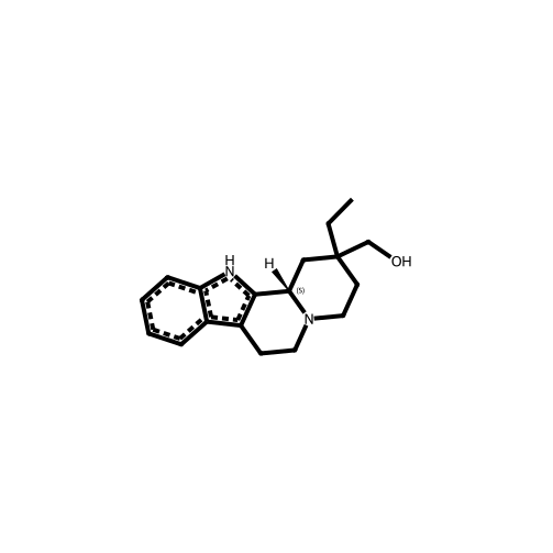 CCC1(CO)CCN2CCc3c([nH]c4ccccc34)[C@@H]2C1